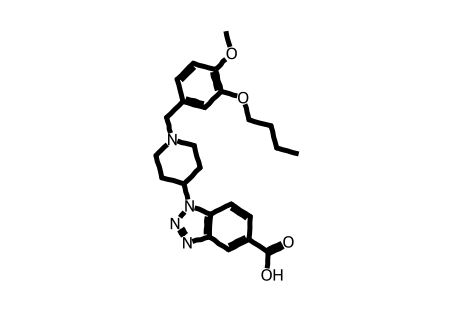 CCCCOc1cc(CN2CCC(n3nnc4cc(C(=O)O)ccc43)CC2)ccc1OC